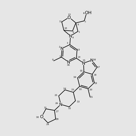 Cc1nc(N2CC3(CO)CC2CO3)cc(-n2ncc3cc(C)c(C4CCN(C5CCOC5)CC4)cc32)n1